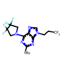 CC(C)(C)c1nc(N2CC(F)(F)C(F)(F)C2)c2ncn(CCC(F)(F)F)c2n1